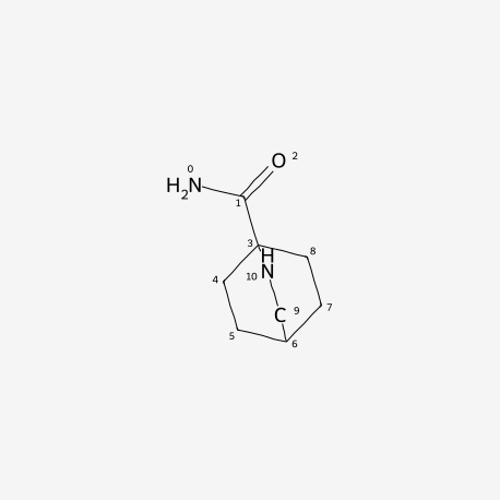 NC(=O)C12CCC(CC1)CN2